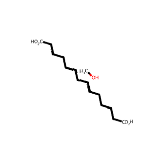 CO.O=C(O)CCCCCCCCCCCCC(=O)O